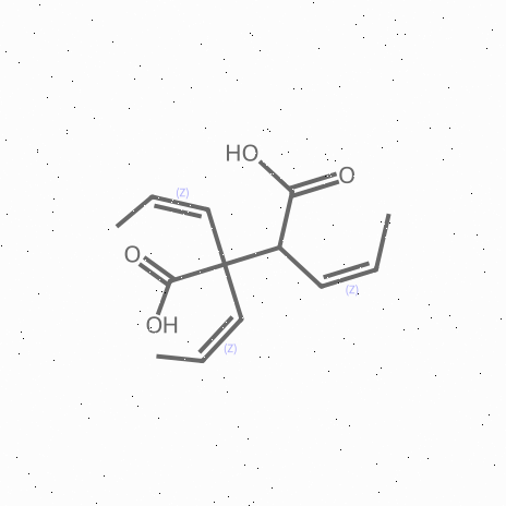 C/C=C\C(C(=O)O)C(/C=C\C)(/C=C\C)C(=O)O